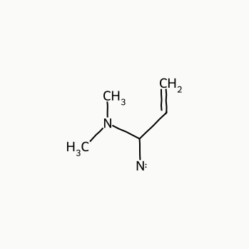 C=CC([N])N(C)C